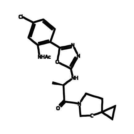 CC(=O)Nc1cc(Cl)ccc1-c1nnc(N[C@H](C)C(=O)N2CCC3(CC2)CC3)o1